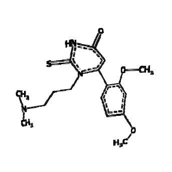 COc1ccc(-c2cc(=O)[nH]c(=S)n2CCCN(C)C)c(OC)c1